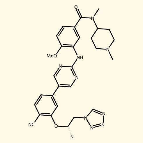 COc1ccc(C(=O)N(C)C2CCN(C)CC2)cc1Nc1ncc(-c2ccc(C#N)c(O[C@@H](C)Cn3cnnn3)c2)cn1